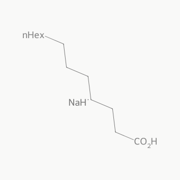 CCCCCCCCC[CH]CCC(=O)O.[NaH]